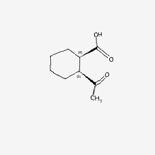 CC(=O)[C@H]1CCCC[C@H]1C(=O)O